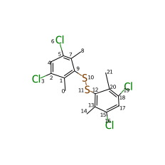 Cc1c(Cl)cc(Cl)c(C)c1SSc1c(C)c(Cl)cc(Cl)c1C